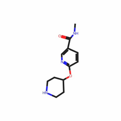 CNC(=O)c1ccc(OC2CCNCC2)nc1